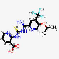 CC(C)Oc1cnc(C(=N)NC(=S)Nc2ncccc2C(=O)O)cc1C(F)(F)F